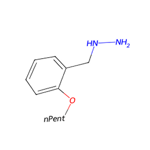 CCCCCOc1ccccc1CNN